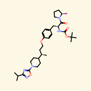 CC(C)c1noc(N2CCC([C@H](C)CCOc3ccc(C[C@H](NC(=O)OC(C)(C)C)C(=O)N4CCC[C@H]4I)cc3)CC2)n1